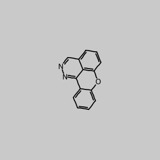 c1ccc2c(c1)Oc1cccc3cnnc-2c13